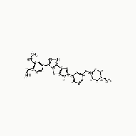 CNc1cc(-c2n[nH]c3c2Cc2sc(-c4cccc(CN5CCN(C)CC5)c4)cc2-3)ccc1C=N